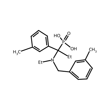 CCN(Cc1cccc(C)c1)C(CC)(c1cccc(C)c1)P(=O)(O)O